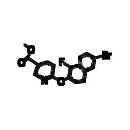 COC(=O)c1ccc(Oc2ccc3cc(Br)ccc3c2F)nc1